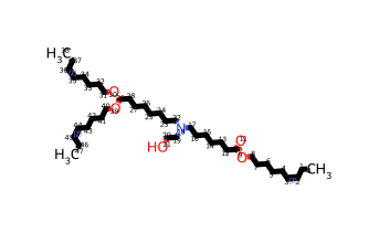 CC/C=C\CCCCCOC(=O)CCCCCCN(CCO)CCCCCCCC(OCCCC/C=C\CC)OCCCC/C=C\CC